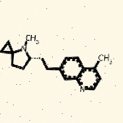 Cc1ccnc2cc(CC[C@@H]3CCC4(CC4)N3C)ccc12